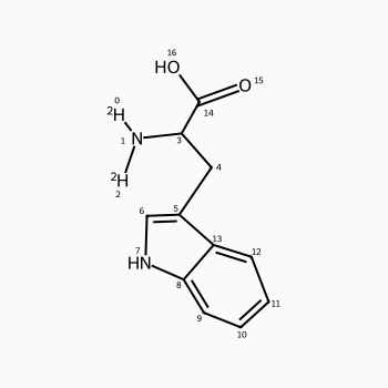 [2H]N([2H])C(Cc1c[nH]c2ccccc12)C(=O)O